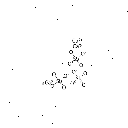 [Ca+2].[Ca+2].[Ca+2].[In+3].[O]=[Sb]([O-])([O-])[O-].[O]=[Sb]([O-])([O-])[O-].[O]=[Sb]([O-])([O-])[O-]